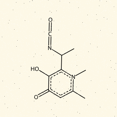 Cc1cc(=O)c(O)c(C(C)N=C=O)n1C